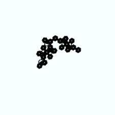 c1ccc(-c2ccc3c(c2)c2cccc4c5c(-c6ccccc6)c6c(c(-c7ccccc7)c5n3c24)c2cccc3c4cc(-c5cccc(-c7cc(-c8cc9c%10ccccc%10n%10c%11c(-c%12ccccc%12)c%12c%13cc(-c%14cccc%15c%14oc%14ccccc%14%15)cc%14c%15ccccc%15n(c%12c(-c%12ccccc%12)c%11c(c8)c9%10)c%14%13)c8oc9ccccc9c8c7)c5)ccc4n6c32)cc1